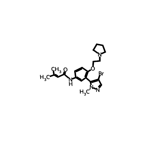 CC(C)=CC(=O)Nc1ccc(OCCN2CCCC2)c(-c2c(Br)cnn2C)c1